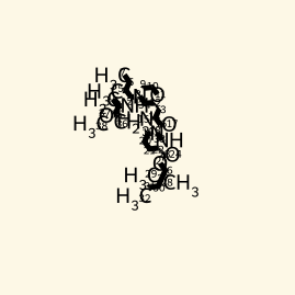 C=C(NC(C(C)CC)N1CCO[C@@H](C[C@H](N)C(=O)N2CCC[C@@H](C(=O)OCC(C)(C)CCC)N2)C1)[C@H](C)OC